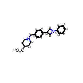 O=C(O)C1CCN(Cc2ccc(C3CN(c4ccccc4)C3)cc2)CC1